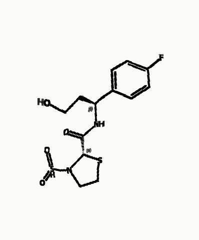 O=C(N[C@@H](CCO)c1ccc(F)cc1)[C@@H]1SCCN1[SH](=O)=O